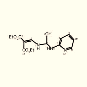 CCOC(=O)C(=CNC(O)Nc1ccccn1)C(=O)OCC